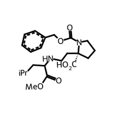 COC(=O)C(CC(C)C)NCC[C@]1(C(=O)O)CCCN1C(=O)OCc1ccccc1